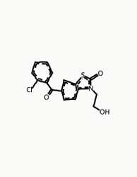 O=C(c1ccc2c(c1)sc(=O)n2CCO)c1ccccc1Cl